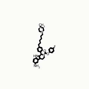 CN1CCN(CCCCCCc2ccc(C3c4[nH]c5ccc(N)cc5c4CCN3C(=O)Oc3ccc(F)cc3)cc2)CC1